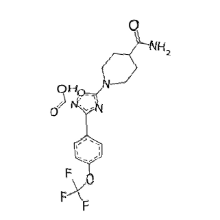 NC(=O)C1CCN(c2nc(-c3ccc(OC(F)(F)F)cc3)no2)CC1.O=CO